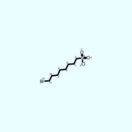 O=S(=O)(Cl)CCCCCCCCBr